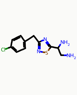 NCC(N)c1nc(Cc2ccc(Cl)cc2)ns1